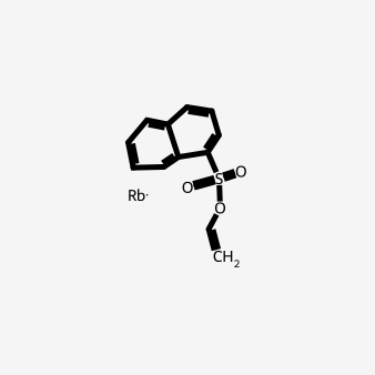 C=COS(=O)(=O)c1cccc2ccccc12.[Rb]